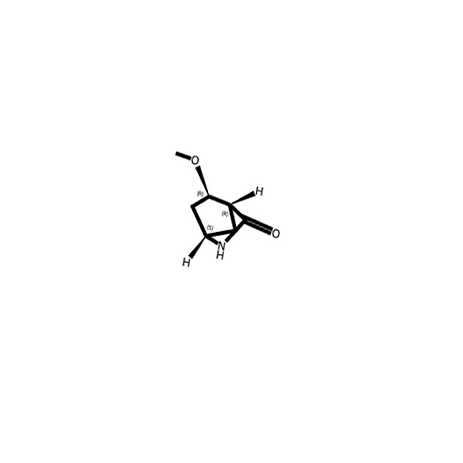 CO[C@@H]1C[C@@H]2C[C@H]1C(=O)N2